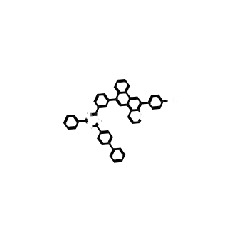 N#Cc1ccc(-c2cc3c4ccccc4c(-c4cccc(-c5nc(-c6ccccc6)nc(-c6ccc(-c7ccccc7)cc6)n5)c4)cc3c3cccnc23)cc1